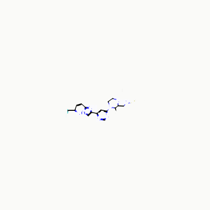 CSNCC1C(C)N(c2cc(-c3cnc(/C=C\C(=N)C(F)F)[nH]3)ncn2)CCN1C